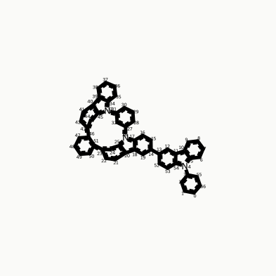 c1ccc(-n2c3ccccc3c3cc(-c4ccc5c(c4)c4ccc6cc4n5c4cccc(c4)n4c5ccccc5c5ccc(cc54)c4ccccc64)ccc32)cc1